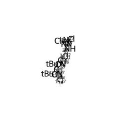 CC(C)(C)OC(=O)N(CCCN(C(=O)OC(C)(C)C)C1CCCCC1)CC1CCC(CNc2nc(Cl)nc(Cl)n2)CC1